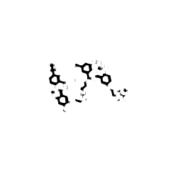 COc1cc2nc(C)nc(N[C@H](C)c3cccc(C(F)(F)C(C)(C)O)c3F)c2cc1OCCN(C)S(=O)(=O)C(C)CC[C@@H](Nc1nc(C)nc2ccc(OCCN(C)S(=O)(=O)C(C)C)cc12)c1cc(N)cc(C(F)(F)F)c1